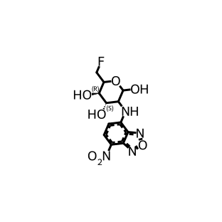 O=[N+]([O-])c1ccc(NC2C(O)OC(CF)[C@H](O)[C@H]2O)c2nonc12